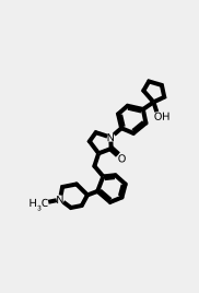 CN1CCC(c2ccccc2CC2CCN(c3ccc(C4(O)CCCC4)cc3)C2=O)CC1